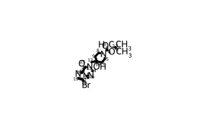 CC(C)(C)OC(=O)N1CCC(O)(Cn2cnn3c(Br)cnc3c2=O)CC1